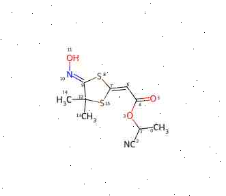 CC(C#N)OC(=O)C=C1SC(=NO)C(C)(C)S1